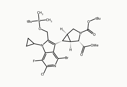 COC(=O)[C@@H]1[C@@H]2[C@H](CN1C(=O)OC(C)(C)C)[C@H]2c1c(CO[Si](C)(C)C(C)(C)C)n(C2CC2)c2c(F)c(Cl)nc(Br)c12